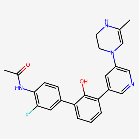 CC(=O)Nc1ccc(-c2cccc(-c3cncc(N4C=C(C)NCC4)c3)c2O)cc1F